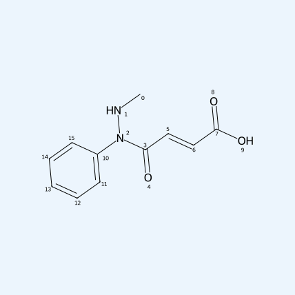 CNN(C(=O)C=CC(=O)O)c1ccccc1